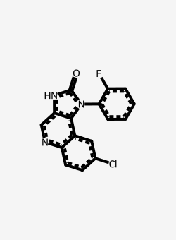 O=c1[nH]c2cnc3ccc(Cl)cc3c2n1-c1ccccc1F